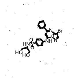 O=S(=O)(NC(CO)CO)c1ccc(Nc2cc(-c3ccccc3)nc3c(Br)cnn23)cc1